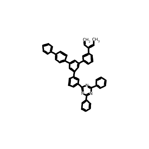 C=C/C(=C\C)c1cccc(-c2cc(-c3ccc(-c4ccccc4)cc3)cc(-c3cccc(-c4nc(-c5ccccc5)nc(-c5ccccc5)n4)c3)c2)c1